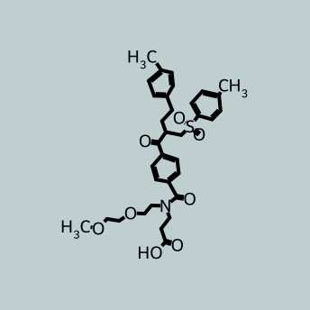 COCCOCCN(CCC(=O)O)C(=O)c1ccc(C(=O)C(CCc2ccc(C)cc2)CS(=O)(=O)c2ccc(C)cc2)cc1